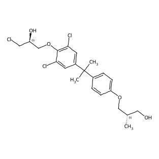 C[C@@H](CO)COc1ccc(C(C)(C)c2cc(Cl)c(OC[C@H](O)CCl)c(Cl)c2)cc1